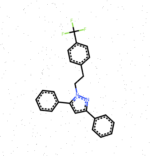 FC(F)(F)c1ccc(CCn2nc(-c3ccccc3)cc2-c2ccccc2)cc1